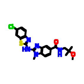 COC(C)(C)CNC(=O)c1ccc2c(c1)nc(Nc1nc3ccc(Cl)cc3s1)n2C